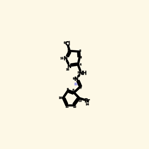 Clc1ccc(N/N=C/c2ccccc2Br)nn1